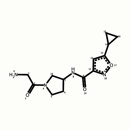 NCC(=O)N1CCC(NC(=O)c2cc(C3CC3)on2)C1